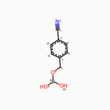 N#Cc1ccc(COB(O)O)cc1